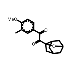 COc1ccc(C(=O)C(=O)C23CC4CC(CC2C4)C3)cc1C